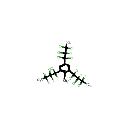 [CH2]c1c(C(Cl)(Cl)C(Cl)(Cl)C(Cl)(Cl)C(Cl)(Cl)Cl)cc(C(Cl)(Cl)C(Cl)(Cl)C(Cl)(Cl)C(Cl)(Cl)Cl)cc1C(Cl)(Cl)C(Cl)(Cl)C(Cl)(Cl)C(Cl)(Cl)Cl